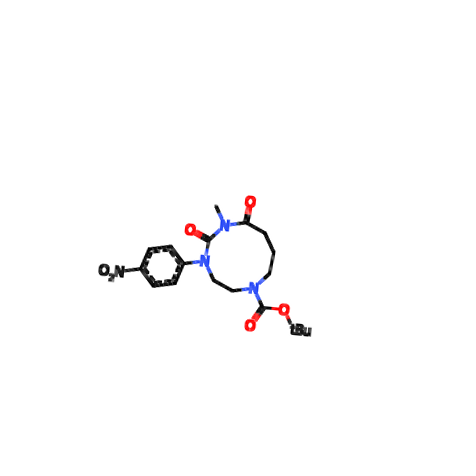 CN1C(=O)CCCN(C(=O)OC(C)(C)C)CCN(c2ccc([N+](=O)[O-])cc2)C1=O